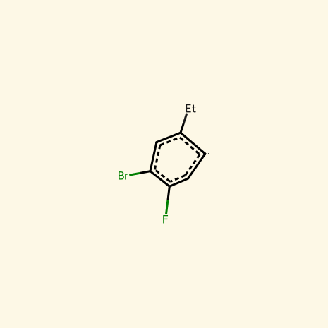 CCc1[c]cc(F)c(Br)c1